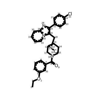 CCOc1cccc(C(=O)N2CC3CCC2CN3Cc2c(-c3ccc(Cl)cc3)nc3ccccn23)c1